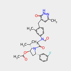 CC(=O)O[C@@H]1C[C@@H](c2cccc(F)c2)N(C(=O)CN(C=O)c2ccc(Cc3cc(C)n[nH]c3=O)c(C)c2)[C@H]1C(C)C